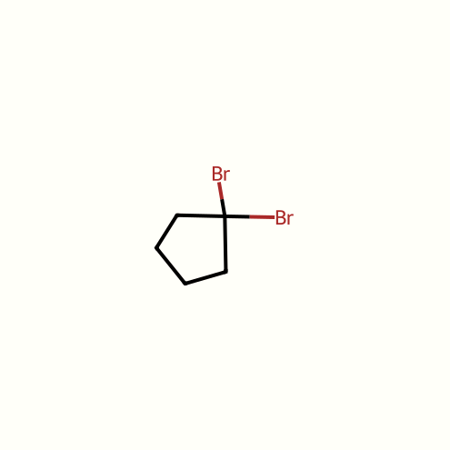 BrC1(Br)CCCC1